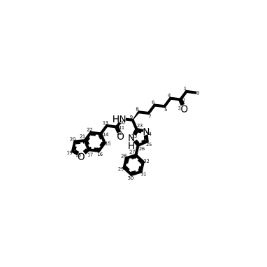 CCC(=O)CCCCC[C@H](NC(=O)Cc1ccc2occc2c1)c1ncc(-c2ccccc2)[nH]1